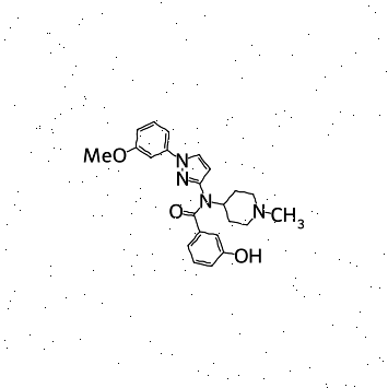 COc1cccc(-n2ccc(N(C(=O)c3cccc(O)c3)C3CCN(C)CC3)n2)c1